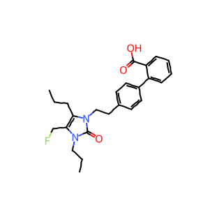 CCCc1c(CF)n(CCC)c(=O)n1CCc1ccc(-c2ccccc2C(=O)O)cc1